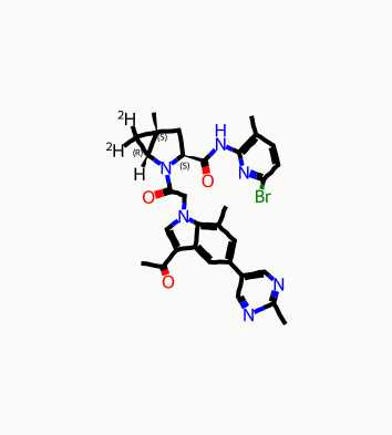 [2H]C1([2H])[C@H]2N(C(=O)Cn3cc(C(C)=O)c4cc(-c5cnc(C)nc5)cc(C)c43)[C@H](C(=O)Nc3nc(Br)ccc3C)C[C@]21C